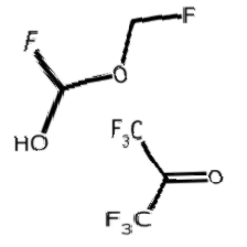 O=C(C(F)(F)F)C(F)(F)F.OC(F)OCF